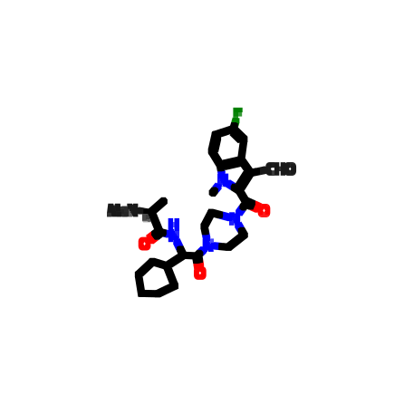 CN[C@@H](C)C(=O)NC(C(=O)N1CCN(C(=O)c2c(C=O)c3cc(F)ccc3n2C)CC1)C1CCCCC1